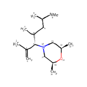 C=C(C)[C@H](C(C)CC(C)NC)N1C[C@@H](C)O[C@@H](C)C1